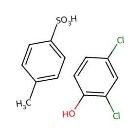 Cc1ccc(S(=O)(=O)O)cc1.Oc1ccc(Cl)cc1Cl